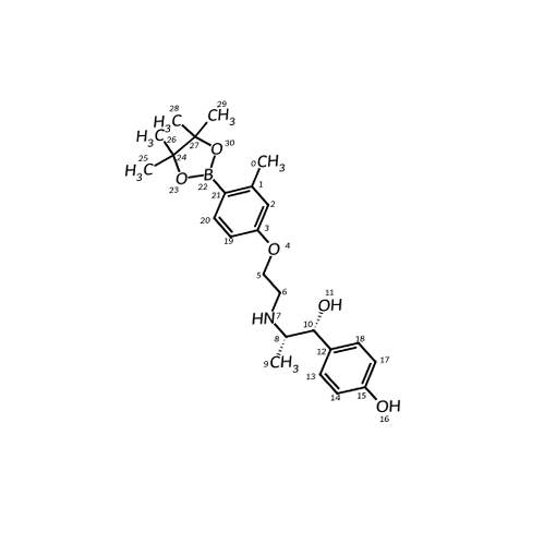 Cc1cc(OCCN[C@@H](C)[C@H](O)c2ccc(O)cc2)ccc1B1OC(C)(C)C(C)(C)O1